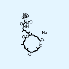 COC1/C=C(C)/C=C/C(C)/C=C/C(=O)OC(/C(C)=C/C=C(\C)CNC(=O)C(COS(=O)(=O)[O-])NC=O)C(C)/C=C/C=C/C(OC)CC/C=C(C)/C=C/C1.[Na+]